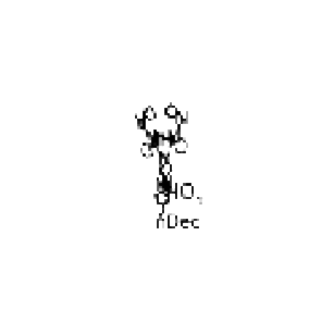 CCCCCCCCCCCCc1ccc(N=Nc2ccc(N(CCC(=O)NCCCN(C)c3ccccc3)CCC(=O)NCCCN(C)c3ccccc3)cc2)c([N+](=O)[O-])c1